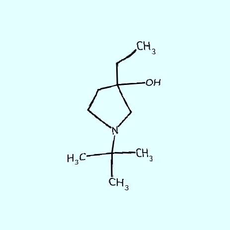 CCC1(O)CCN(C(C)(C)C)C1